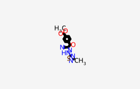 COC(=O)c1ccc(C(=O)/C(C#N)=N/Nc2nc(C)ns2)cc1